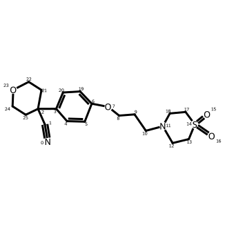 N#CC1(c2ccc(OCCCN3CCS(=O)(=O)CC3)cc2)CCOCC1